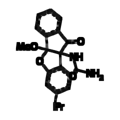 COC12Oc3cc(C(C)C)ccc3C1(NC(N)=O)C(=O)c1ccccc12